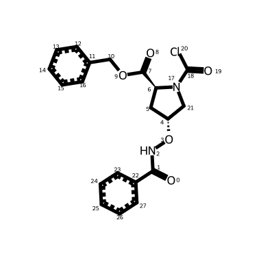 O=C(NO[C@@H]1C[C@@H](C(=O)OCc2ccccc2)N(C(=O)Cl)C1)c1ccccc1